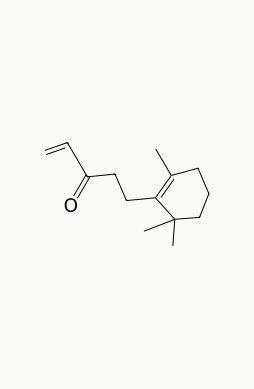 C=CC(=O)CCC1=C(C)CCCC1(C)C